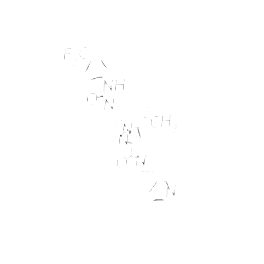 CC1(c2cc(C(=O)N3CCC(c4cccnc4)C3)nn2C2CCN(C(=O)Nc3ccc(C(F)(F)F)cc3)CC2)CC1